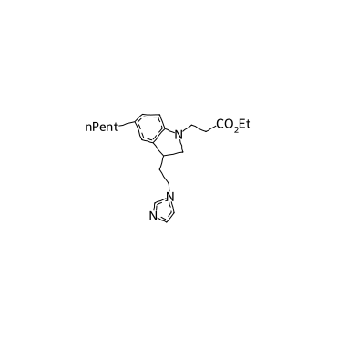 CCCCCc1ccc2c(c1)C(CCn1ccnc1)CN2CCC(=O)OCC